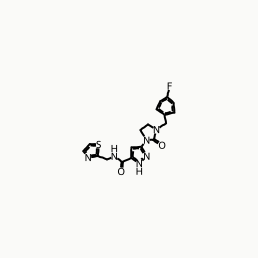 O=C(NCc1nccs1)c1cc(N2CCN(Cc3ccc(F)cc3)C2=O)n[nH]1